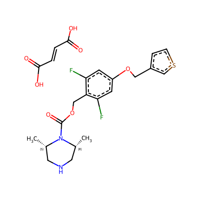 C[C@@H]1CNC[C@H](C)N1C(=O)OCc1c(F)cc(OCc2ccsc2)cc1F.O=C(O)C=CC(=O)O